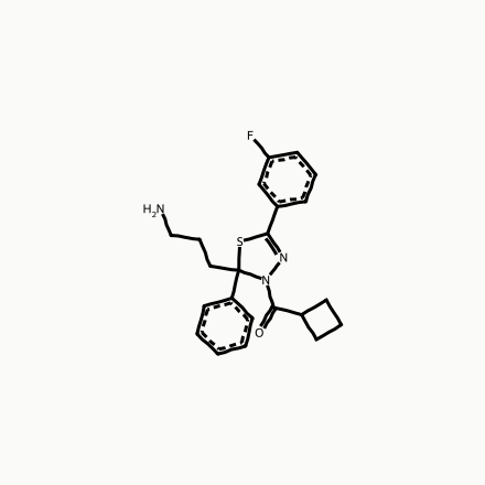 NCCCC1(c2ccccc2)SC(c2cccc(F)c2)=NN1C(=O)C1CCC1